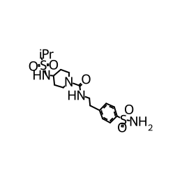 CC(C)S(=O)(=O)NC1CCN(C(=O)NCCc2ccc(S(N)(=O)=O)cc2)CC1